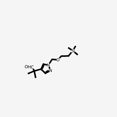 CC(C)(C=O)c1cnn(COCC[Si](C)(C)C)c1